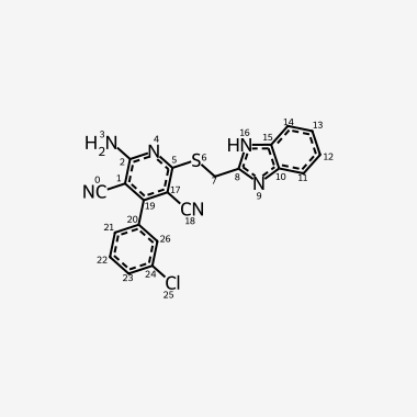 N#Cc1c(N)nc(SCc2nc3ccccc3[nH]2)c(C#N)c1-c1cccc(Cl)c1